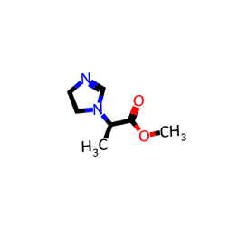 COC(=O)C(C)N1C=NCC1